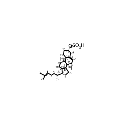 CC(C)=CCC[C@@H](C)[C@H]1CC[C@H]2[C@@H]3CC=C4C[C@@H](OS(=O)(=O)O)CC[C@]4(C)[C@H]3CC[C@]12C